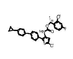 C[C@@H](OC(=O)Nc1cc(Cl)sc1-c1ccc(-c2ccc(C3CC3)cc2)cc1)c1ccc(F)cc1Cl